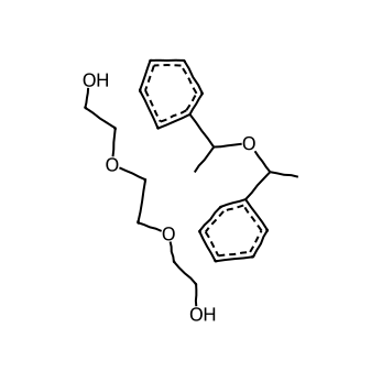 CC(OC(C)c1ccccc1)c1ccccc1.OCCOCCOCCO